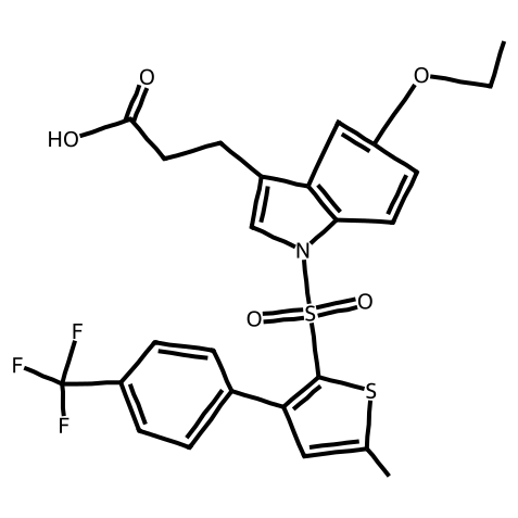 CCOc1ccc2c(c1)c(CCC(=O)O)cn2S(=O)(=O)c1sc(C)cc1-c1ccc(C(F)(F)F)cc1